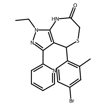 CCn1nc(-c2ccccn2)c2c1NC(=O)CSC2c1ccc(Br)cc1C